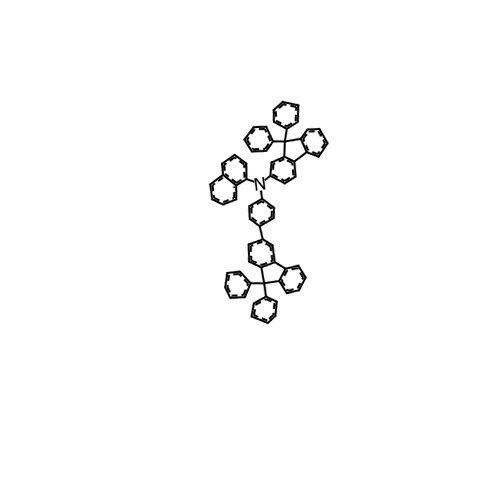 c1ccc(C2(c3ccccc3)c3ccccc3-c3cc(-c4ccc(N(c5ccc6c(c5)C(c5ccccc5)(c5ccccc5)c5ccccc5-6)c5cccc6ccccc56)cc4)ccc32)cc1